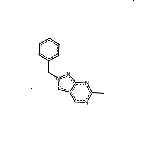 Cc1n[c]c2cn(Cc3ccccc3)nc2n1